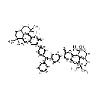 CC1(C)CCN2CCC(C)(C)c3c2c1cc1cc(-c2ccc(N(c4ccccc4)c4ccc(-c5cc6cc7c8c(c6oc5=O)C(C)(C)CCN8CCC7(C)C)cc4)cc2)c(=O)oc31